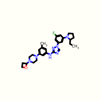 CCC1CCCN1c1cc(F)cc(-n2cnc(Nc3cc(C)cc(N4CCN(C5CCO5)CC4)c3)n2)c1